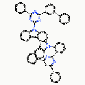 c1ccc(-c2cccc(-c3nc(-c4ccccc4)nc(-n4c5ccccc5c5c6c7ccccc7n(-c7ccccc7-c7nc(-c8ccccc8)cc(-c8ccccc8)n7)c6ccc54)n3)c2)cc1